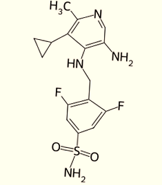 Cc1ncc(N)c(NCc2c(F)cc(S(N)(=O)=O)cc2F)c1C1CC1